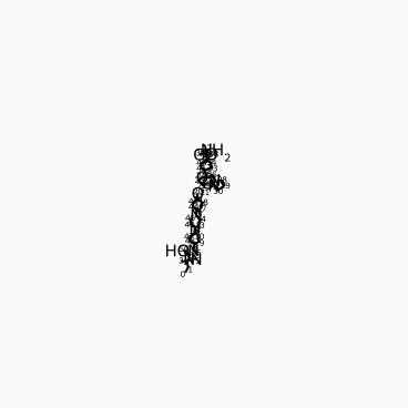 CCC(C)N1N=CN(c2ccc(N3CCN(c4ccc(OC[C@@H]5CO[C@@](Cn6cccn6)(c6ccc(S(N)(=O)=O)cc6)O5)cc4)CC3)cc2)C1O